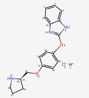 [Cl-].[H+].c1ccc2[nH]c(Oc3ccc(OC[C@H]4CCCN4)cc3)nc2c1